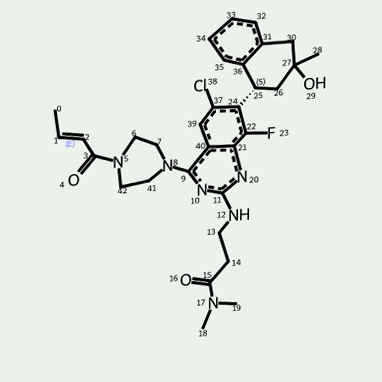 C/C=C/C(=O)N1CCN(c2nc(NCCC(=O)N(C)C)nc3c(F)c([C@H]4CC(C)(O)Cc5ccccc54)c(Cl)cc23)CC1